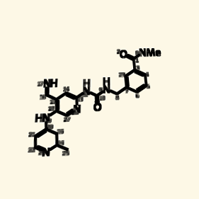 CNC(=O)c1cccc(CNC(=O)Nc2cc(C=N)c(NC3=CC=NC(C)C3)cn2)c1